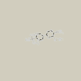 CC(=O)Nc1nc(-c2cnc(C(C)(C)O)nc2)ccc1[N+](=O)[O-]